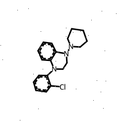 Clc1ccccc1N1CCN(N2CCCCC2)c2ccccc21